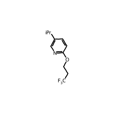 CC(C)c1ccc(OCCC(F)(F)F)nc1